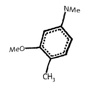 CNc1ccc(C)c(OC)c1